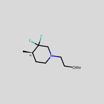 COCCN1CC[C@@H](C)C(F)(F)C1